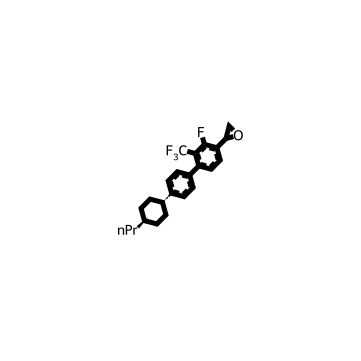 CCC[C@H]1CC[C@H](c2ccc(-c3ccc(C4CO4)c(F)c3C(F)(F)F)cc2)CC1